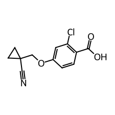 N#CC1(COc2ccc(C(=O)O)c(Cl)c2)CC1